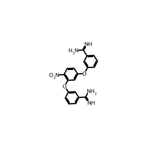 N=C(N)c1cccc(Oc2ccc([N+](=O)[O-])c(Oc3cccc(C(=N)N)c3)c2)c1